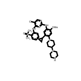 COc1cc(N2CCC(N3CCNCC3)CC2)c(C2CC2)cc1Nc1ncc(Cl)c(Nc2ccccc2P(C)(C)=O)n1